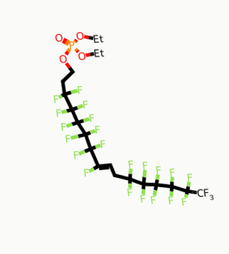 CCOP(=O)(OCC)OCCC(F)(F)C(F)(F)C(F)(F)C(F)(F)C(F)(F)/C(F)=C/CC(F)(F)C(F)(F)C(F)(F)C(F)(F)C(F)(F)C(F)(F)F